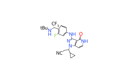 CC(C)(C)N[C@@H](c1ccc(Nc2nn(C(CC#N)C3CC3)c3cc[nH]c(=O)c23)cc1F)C(F)(F)F